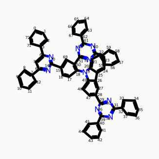 c1ccc(-c2cc(-c3ccccc3)nc(-c3ccc(-n4c5ccccc5c5cc(-c6nc(-c7ccccc7)nc(-c7ccccc7)n6)ccc54)c(-c4nc(-c5ccccc5)nc(-c5ccccc5)n4)c3)n2)cc1